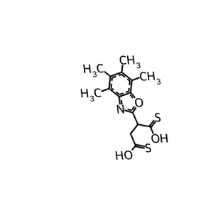 Cc1c(C)c(C)c2oc(C(CC(O)=S)C(O)=S)nc2c1C